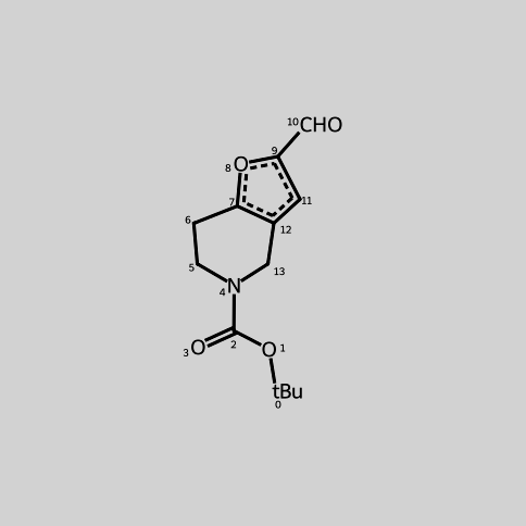 CC(C)(C)OC(=O)N1CCc2oc(C=O)cc2C1